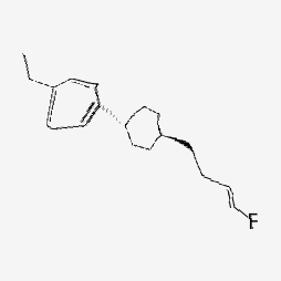 CCc1ccc([C@H]2CC[C@H](CC/C=C/F)CC2)cc1